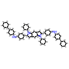 c1ccc(-c2ccc(Nc3ccc(-c4cc5cc6c(cc(-c7ccc(Nc8ccc(-c9ccccc9)cc8)cc7)n6-c6ccccc6)cc5n4-c4ccccc4)cc3)cc2)cc1